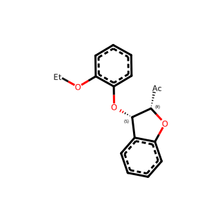 CCOc1ccccc1O[C@H]1c2ccccc2O[C@H]1C(C)=O